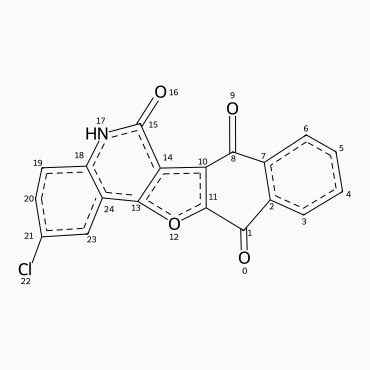 O=C1c2ccccc2C(=O)c2c1oc1c2c(=O)[nH]c2ccc(Cl)cc21